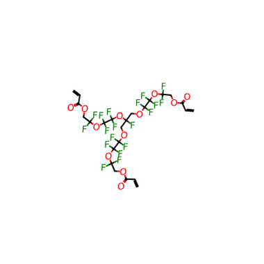 C=CC(=O)OCC(F)(F)OC(F)(F)C(F)(F)OCC(F)(COC(F)(F)C(F)(F)OC(F)(F)COC(=O)C=C)OC(F)(F)C(F)(F)OC(F)(F)COC(=O)C=C